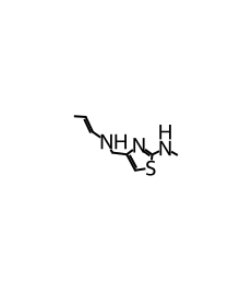 CC=CNCc1csc(NC)n1